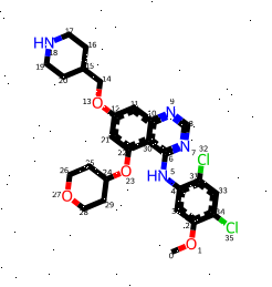 COc1cc(Nc2ncnc3cc(OCC4CCNCC4)cc(OC4CCOCC4)c23)c(Cl)cc1Cl